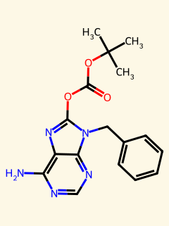 CC(C)(C)OC(=O)Oc1nc2c(N)ncnc2n1Cc1ccccc1